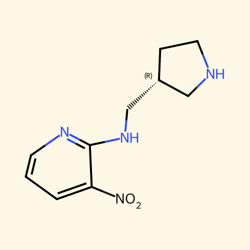 O=[N+]([O-])c1cccnc1NC[C@@H]1CCNC1